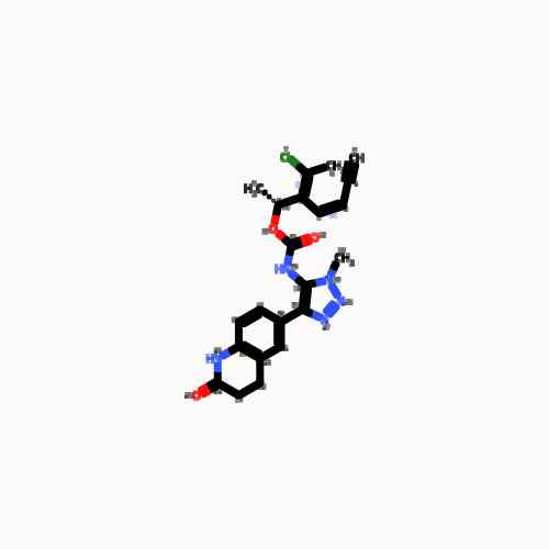 C#C/C=C\C(=C(/C)Cl)[C@@H](C)OC(=O)Nc1c(-c2ccc3c(c2)CCC(=O)N3)nnn1C